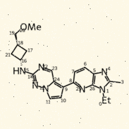 CCn1c(C)nc2ccc(-c3ccn4nc(N[C@H]5C[C@H](COC)C5)ncc34)nc21